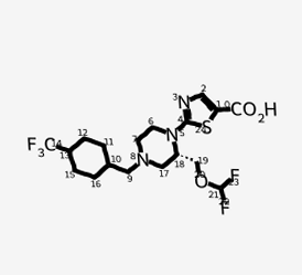 O=C(O)c1cnc(N2CCN(CC3CCC(C(F)(F)F)CC3)C[C@H]2COC(F)F)s1